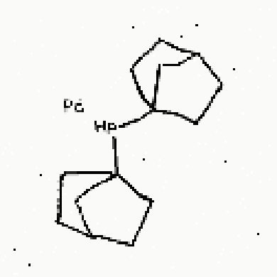 C1CC2(PC34CCC(CC3)C4)CCC1C2.[Pd]